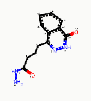 NNC(=O)CCCc1n[nH]c(=O)c2ccccc12